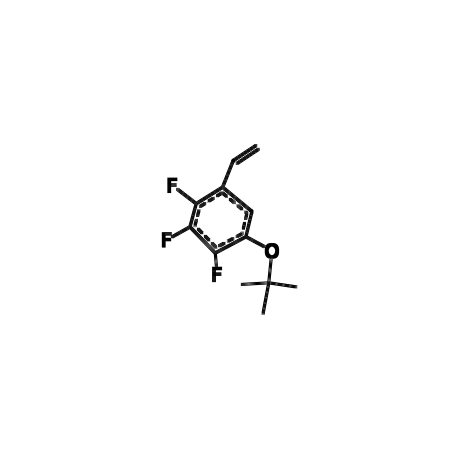 C=Cc1cc(OC(C)(C)C)c(F)c(F)c1F